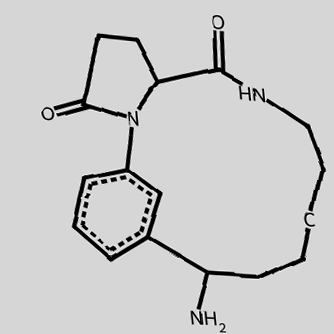 NC1CCCCCNC(=O)C2CCC(=O)N2c2cccc1c2